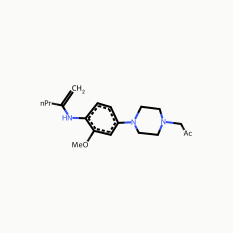 C=C(CCC)Nc1ccc(N2CCN(CC(C)=O)CC2)cc1OC